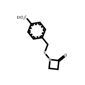 CCOC(=O)c1ccc(CSN2CCC2=O)cc1